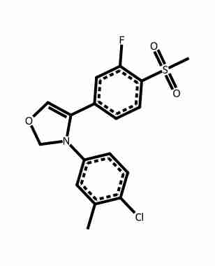 Cc1cc(N2COC=C2c2ccc(S(C)(=O)=O)c(F)c2)ccc1Cl